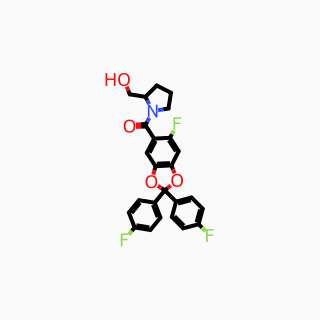 O=C(c1cc2c(cc1F)OC(c1ccc(F)cc1)(c1ccc(F)cc1)O2)N1CCCC1CO